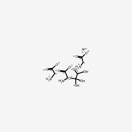 CC(O)C(O)(O)Cl.NCC(=O)[O-].NCC(=O)[O-].NCC(=O)[O-].[Al+3]